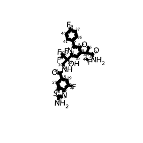 NC(=O)[C@]1(CF)COc2c1cc([C@@](O)(CNC(=O)c1cc(F)c3nc(N)sc3c1)C(F)(F)F)nc2-c1ccc(F)cc1